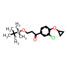 CC(C)(C)[Si](C)(C)OCCC(=O)c1ccc(OC2CC2)c(Cl)c1